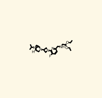 CCOC(CNCc1ccc(F)c(N2CC(N3C[C@@H]4CC3CN4C(C)C)C2)n1)OCC